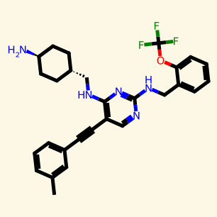 Cc1cccc(C#Cc2cnc(NCc3ccccc3OC(F)(F)F)nc2NC[C@H]2CC[C@H](N)CC2)c1